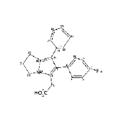 O=C(O)Cc1c(-c2ccc(F)cc2)c(-c2ccccc2)c2n1CCC2